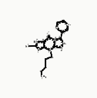 CCCCCn1c2nc(Br)[nH]c2c(=O)n2c(-c3cnccn3)nnc12